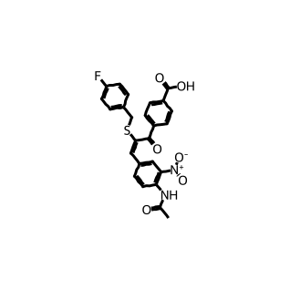 CC(=O)Nc1ccc(/C=C(/SCc2ccc(F)cc2)C(=O)c2ccc(C(=O)O)cc2)cc1[N+](=O)[O-]